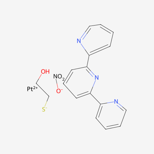 O=[N+]([O-])[O-].OCC[S-].[Pt+2].c1ccc(-c2cccc(-c3ccccn3)n2)nc1